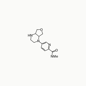 CNC(=O)c1ccc(N2CCNC3COCC32)cn1